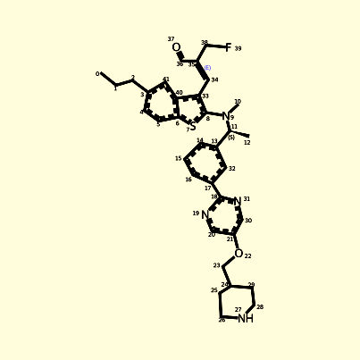 CCCc1ccc2sc(N(C)[C@@H](C)c3cccc(-c4ncc(OCC5CCNCC5)cn4)c3)c(/C=C(\C=O)CF)c2c1